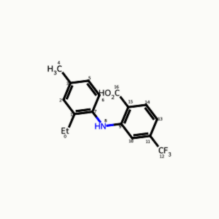 CCc1cc(C)ccc1Nc1cc(C(F)(F)F)ccc1C(=O)O